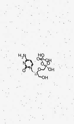 Nc1ccn(C[C@@H](CO)OCP(=O)(O)OP(=O)(O)O)c(=O)n1